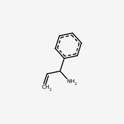 C=CC(N)c1[c]cccc1